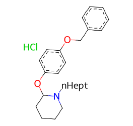 CCCCCCCN1CCCCC1Oc1ccc(OCc2ccccc2)cc1.Cl